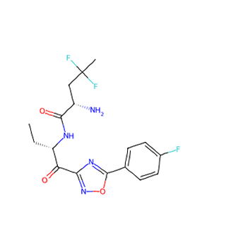 CC[C@H](NC(=O)[C@@H](N)CC(C)(F)F)C(=O)c1noc(-c2ccc(F)cc2)n1